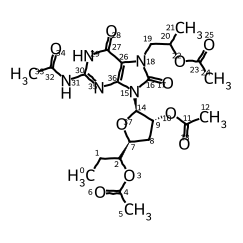 CCC(OC(C)=O)[C@@H]1C[C@@H](OC(C)=O)[C@H](n2c(=O)n(CC(C)OC(C)=O)c3c(=O)[nH]c(NC(C)=O)nc32)O1